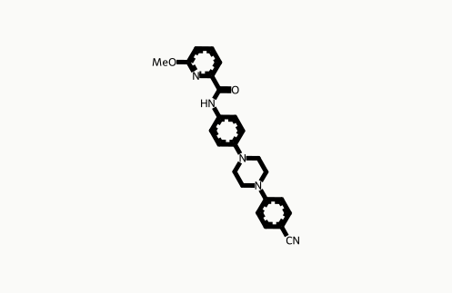 COc1cccc(C(=O)Nc2ccc(N3CCN(c4ccc(C#N)cc4)CC3)cc2)n1